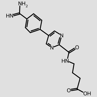 N=C(N)c1ccc(-c2cnc(C(=O)NCCCC(=O)O)nc2)cc1